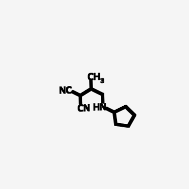 CC(CNC1CCCC1)C(C#N)C#N